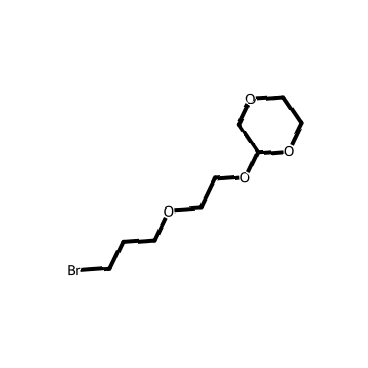 BrCCCOCCOC1COCCO1